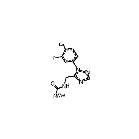 CNC(=O)NCc1ncnn1-c1ccc(Cl)c(F)c1